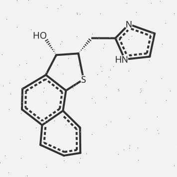 O[C@H]1c2ccc3ccccc3c2S[C@H]1Cc1ncc[nH]1